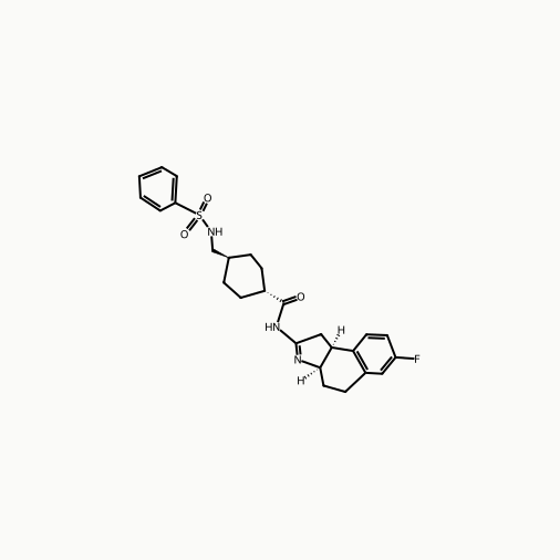 O=C(NC1=N[C@@H]2CCc3cc(F)ccc3[C@@H]2C1)[C@H]1CC[C@H](CNS(=O)(=O)c2ccccc2)CC1